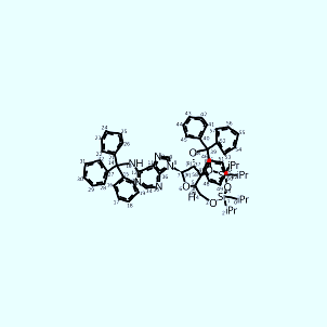 CC(C)[Si]1(C(C)C)OC[C@H]2O[C@@H](n3cnc4c(NC(c5ccccc5)(c5ccccc5)c5ccccc5)ncnc43)[C@H](OC(c3ccccc3)(c3ccccc3)c3ccccc3)[C@@H]2O[Si](C(C)C)(C(C)C)O1